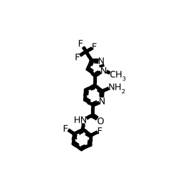 Cn1nc(C(F)(F)F)cc1-c1ccc(C(=O)Nc2c(F)cccc2F)nc1N